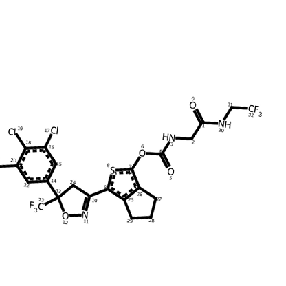 O=C(CNC(=O)Oc1sc(C2=NOC(c3cc(Cl)c(Cl)c(Cl)c3)(C(F)(F)F)C2)c2c1CCC2)NCC(F)(F)F